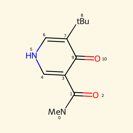 CNC(=O)c1c[nH]cc(C(C)(C)C)c1=O